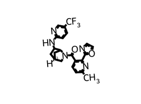 Cc1ccc(C(=O)N2C[C@H]3CC(Nc4ccc(C(F)(F)F)cn4)C2C3)c(-c2ncco2)n1